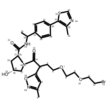 Cc1cc(C(CCOCCOCCBr)C(=O)N2C[C@H](O)C[C@H]2C(=O)NC(C)c2ccc(-c3scnc3C)cc2)on1